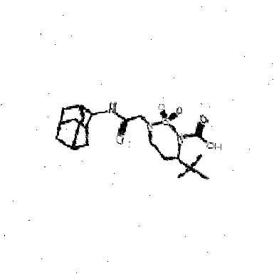 CC(C)(C)C1CCN(CC(=O)NC2C3CC4CC(C3)CC2C4)S(=O)(=O)N1C(=O)O